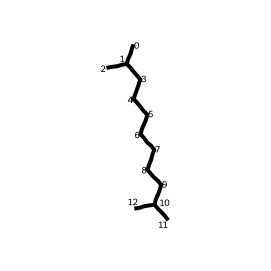 CC(C)CCCCCCCC(C)C